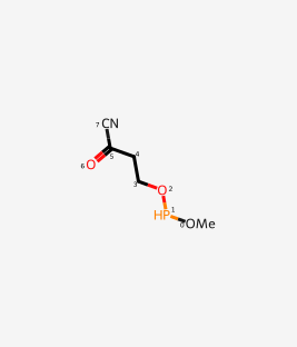 COPOCCC(=O)C#N